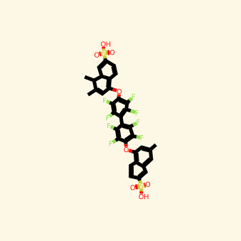 CC1=CC(Oc2c(F)c(F)c(-c3c(F)c(F)c(Oc4cc(C)cc5cc(S(=O)(=O)O)ccc45)c(F)c3F)c(F)c2F)=C2C=CC(S(=O)(=O)O)=CC2C1C